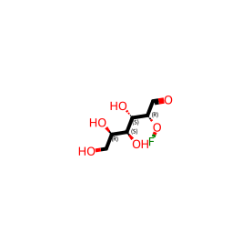 O=C[C@H](OF)[C@@H](O)[C@@H](O)[C@H](O)CO